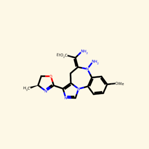 CCOC(=O)/C(N)=C1\Cc2c(C3=N[C@@H](C)CO3)ncn2-c2ccc(OC)cc2N1N